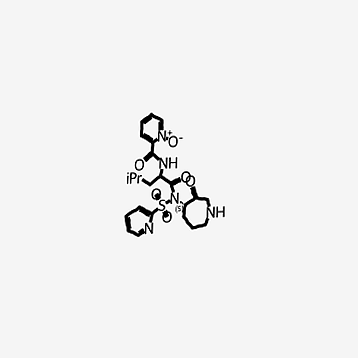 CC(C)CC(NC(=O)c1cccc[n+]1[O-])C(=O)N([C@H]1CCCNCC1=O)S(=O)(=O)c1ccccn1